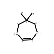 CC1(C)COC=COC1